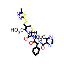 Cc1nnc(SCC2=C(C(=O)O)N3C(=O)C(NC(=O)C(NC(=O)c4nccnc4C(=O)O)c4ccccc4)[C@H]3SC2)s1